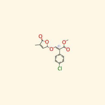 COC(=O)/C(=C/OC1C=C(C)C(=O)O1)c1ccc(Cl)cc1